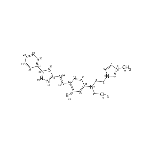 CCN(CCn1cc[n+](C)c1)c1ccc(N=Nc2nnc(-c3ccccc3)s2)cc1.[Br-]